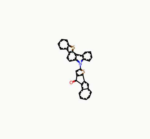 O=C1c2cc(-n3c4ccccc4c4c5sc6ccccc6c5ccc43)sc2-c2cc3cccccc-3c21